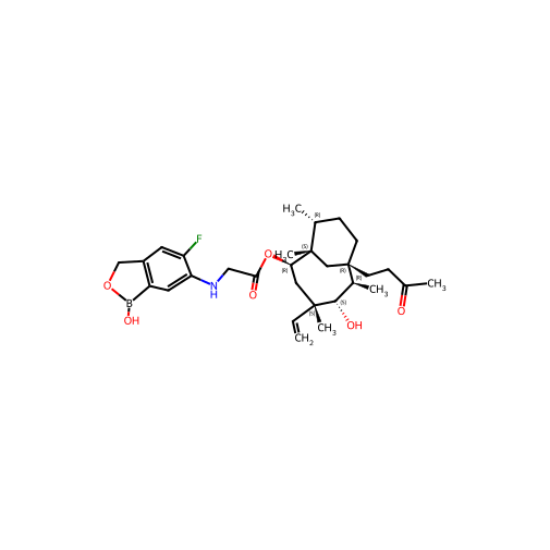 C=C[C@]1(C)C[C@@H](OC(=O)CNc2cc3c(cc2F)COB3O)[C@@]2(C)C[C@](CCC(C)=O)(CC[C@H]2C)[C@@H](C)[C@@H]1O